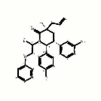 C=CC[C@@]1(C)C[C@H](c2cccc(Cl)c2)[C@@H](c2ccc(Cl)cc2)N(C(CC)COc2cccnc2)C1=O